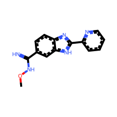 CONC(=N)c1ccc2nc(-c3ccccn3)[nH]c2c1